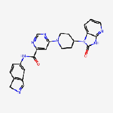 O=C(Nc1ccc2c(c1)C=NC2)c1cc(N2CCC(n3c(=O)[nH]c4ncccc43)CC2)ncn1